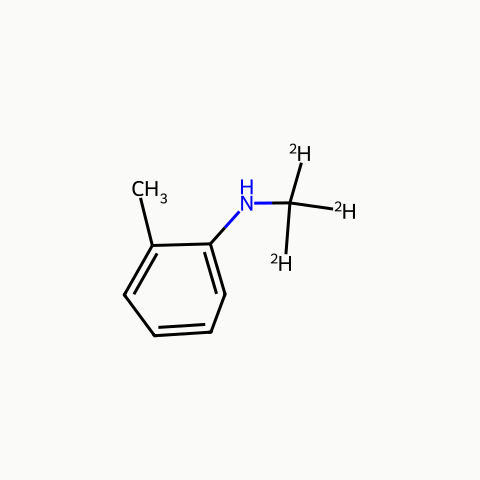 [2H]C([2H])([2H])Nc1ccccc1C